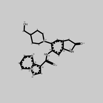 O=C1Cc2cc(N3CCC(CO)CC3)c(NC(=O)c3cnn4cccnc34)cc2N1